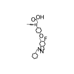 CC#C[C@@H](CC(=O)O)c1ccc(OCc2cc3c(cnn3Cc3ccccc3)cc2F)cc1